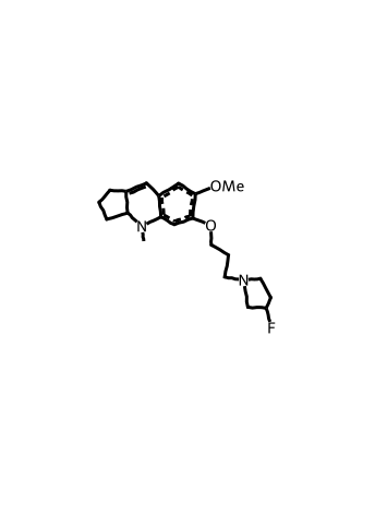 COc1cc2c(cc1OCCCN1CCC(F)C1)N(C)C1CCCC1=C2